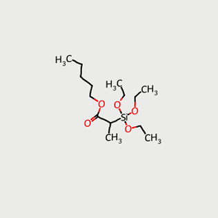 CCCCCOC(=O)C(C)[Si](OCC)(OCC)OCC